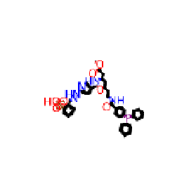 COC(=O)CC(CCCCNC(=O)c1ccc(P(c2ccccc2)c2ccccc2)cc1)NC(=O)c1ccc(NN=Cc2ccccc2S(=O)(=O)O)nc1